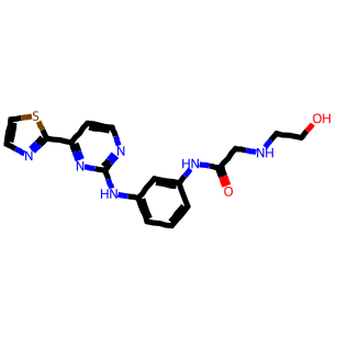 O=C(CNCCO)Nc1cccc(Nc2nccc(-c3nccs3)n2)c1